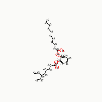 CCCCCCCCCCC(=O)Oc1ccccc1OC(=O)CCCCC(CC)CC